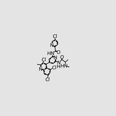 CNC(C)C(=O)Nc1cc(-c2c(Cl)c(C)nc3cc(Cl)cc(Cl)c23)cc(NC(=O)c2ccc(Cl)cn2)n1